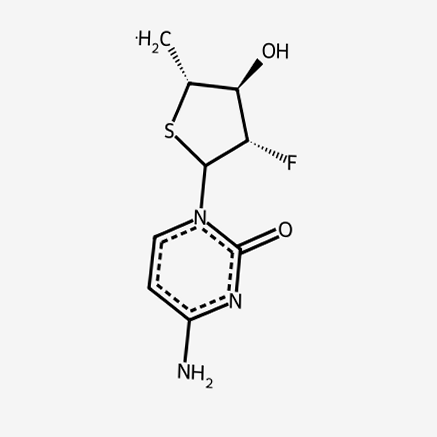 [CH2][C@H]1SC(n2ccc(N)nc2=O)[C@@H](F)[C@@H]1O